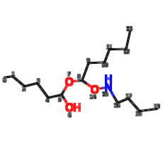 CCCCCC(O)OC(CCCCC)ONCCCC